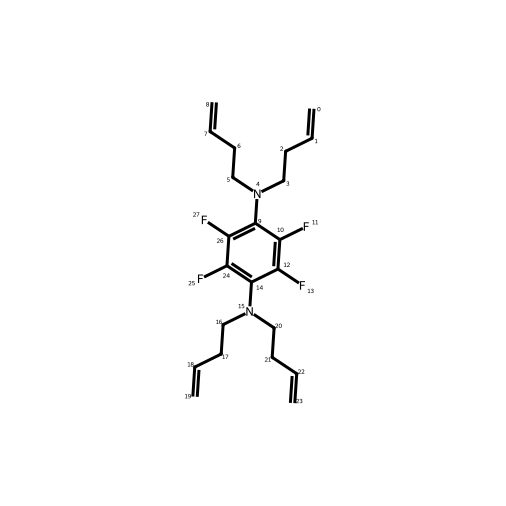 C=CCCN(CCC=C)c1c(F)c(F)c(N(CCC=C)CCC=C)c(F)c1F